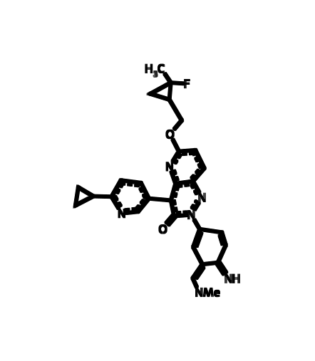 CN/C=C1/C=C(n2nc3ccc(OCC4CC4(C)F)nc3c(-c3ccc(C4CC4)nc3)c2=O)C=CC1=N